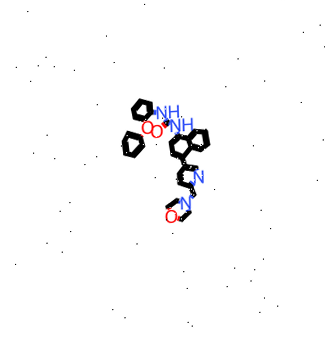 O=C(Nc1ccccc1Oc1ccccc1)Nc1ccc(-c2ccc(CN3CCOCC3)nc2)c2ccccc12